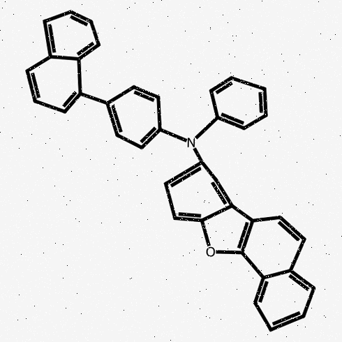 c1ccc(N(c2ccc(-c3cccc4ccccc34)cc2)c2ccc3oc4c5ccccc5ccc4c3c2)cc1